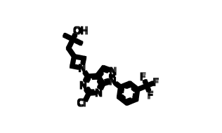 CC(C)(O)CC1CN(c2nc(Cl)nc3c2cnn3-c2cccc(C(F)(F)F)c2)C1